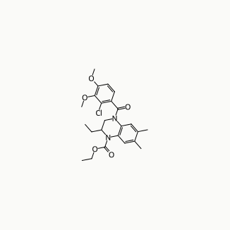 CCOC(=O)N1c2cc(C)c(C)cc2N(C(=O)c2ccc(OC)c(OC)c2Cl)CC1CC